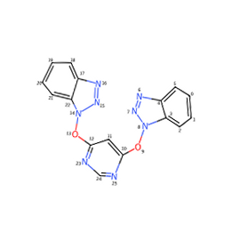 c1ccc2c(c1)nnn2Oc1cc(On2nnc3ccccc32)ncn1